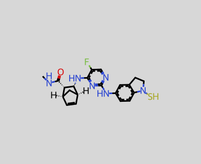 CNC(=O)[C@@H]1[C@H](Nc2nc(Nc3ccc4c(c3)CCN4S)ncc2F)[C@H]2C=C[C@@H]1C2